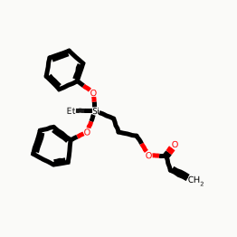 C=CC(=O)OCCC[Si](CC)(Oc1ccccc1)Oc1ccccc1